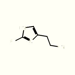 CCc1nc(CCC#N)c[nH]1